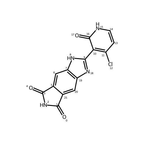 O=C1NC(=O)c2cc3[nH]c(-c4c(Cl)cc[nH]c4=O)nc3cc21